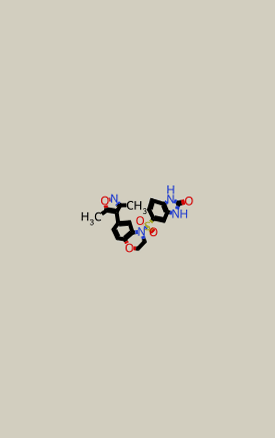 Cc1noc(C)c1-c1ccc2c(c1)N(S(=O)(=O)c1ccc3[nH]c(=O)[nH]c3c1)CCO2